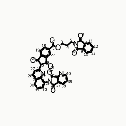 O=C(OCCCN1C(=O)c2ccccc2C1=O)c1ccc2c(c1)C(=O)C(c1ccc3cccc(N4C(=O)c5cccnc5C4=O)c3n1)C2=O